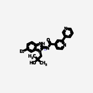 CCc1ccc2[nH]/c(=N\C(=O)c3ccnc(-c4cccnc4)c3)n(CC(C)(C)O)c2c1